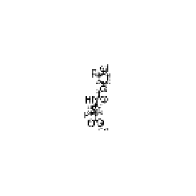 CCOC(=O)C12CCC(NC(=O)COc3ccc(Cl)c(F)c3)(CC1)CC2F